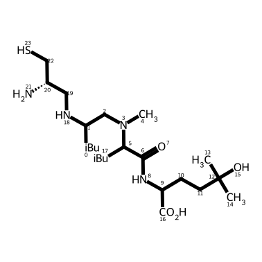 CCC(C)C(CN(C)C(C(=O)NC(CCC(C)(C)O)C(=O)O)C(C)CC)NC[C@H](N)CS